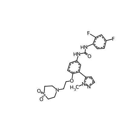 Cn1nccc1-c1cc(NC(=O)Nc2ccc(F)cc2F)ccc1OCCN1CCS(=O)(=O)CC1